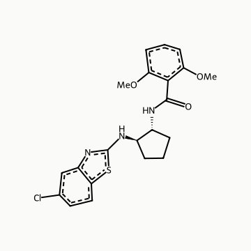 COc1cccc(OC)c1C(=O)N[C@@H]1CCC[C@H]1Nc1nc2cc(Cl)ccc2s1